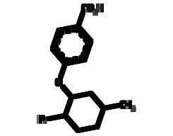 CC1CCC(C(C)C)C(Oc2ccc(C(=O)O)cc2)C1